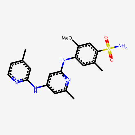 COc1cc(S(N)(=O)=O)c(C)cc1Nc1cc(Nc2cc(C)ccn2)cc(C)n1